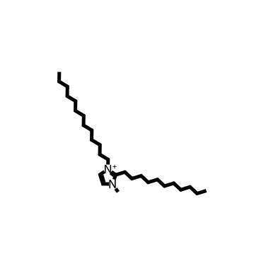 CCCCCCCCCCCCC[n+]1ccn(C)c1CCCCCCCCCCC